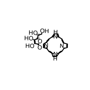 C1=Cc2cc3ccc(cc4nc(cc5ccc(cc1n2)[nH]5)C=C4)[nH]3.O=C1O[C@H]([C@@H](O)CO)C(O)=C1O